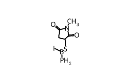 CN1C(=O)CC(SB(P)I)C1=O